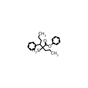 CCCC(c1ccccc1)C([SiH3])(CCC)C(=O)Oc1ccccc1